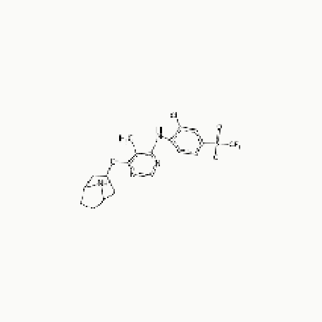 Cc1c(Nc2ccc(S(=O)(=O)C(F)(F)F)cc2Cl)ncnc1OC1CC2CCC(C1)N2